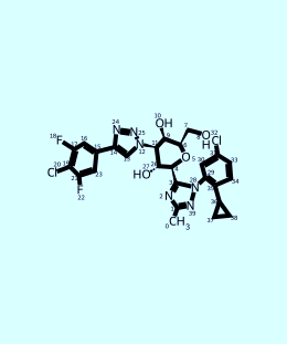 Cc1nc([C@@H]2O[C@H](CO)[C@H](O)[C@H](n3cc(-c4cc(F)c(Cl)c(F)c4)nn3)[C@H]2O)n(-c2cc(Cl)ccc2C2CC2)n1